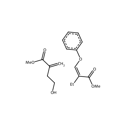 C=C(CCO)C(=O)OC.CCC(=COc1ccccc1)C(=O)OC